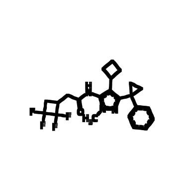 Cn1nc(C2(c3ccccc3)CC2)c(C2CCC2)c1NC(=O)CC1CC(F)(F)C1(F)F